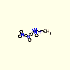 CC/C=C\C=C/Cc1nnc(-c2ccc(N(c3ccccc3)c3ccc(-n4c5ccccc5c5ccccc54)cc3)cc2)n1-c1ccccc1